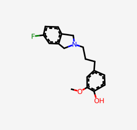 COc1cc(CCCN2Cc3ccc(F)cc3C2)ccc1O